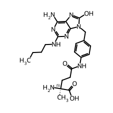 CCCCNc1nc(N)c2nc(O)n(Cc3ccc(NC(=O)CC[C@](C)(N)C(=O)O)cc3)c2n1